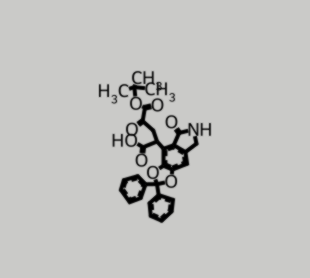 CC(C)(C)OC(=O)C(=O)CC(C(=O)O)c1c2c(cc3c1C(=O)NC3)OC(c1ccccc1)(c1ccccc1)O2